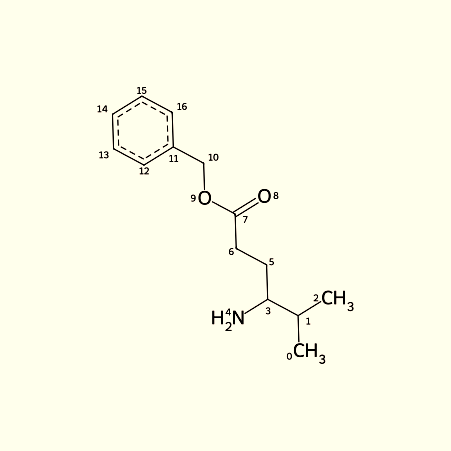 CC(C)C(N)CCC(=O)OCc1ccccc1